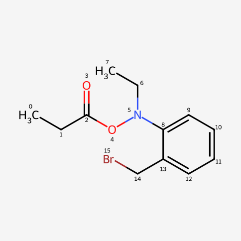 CCC(=O)ON(CC)c1ccccc1CBr